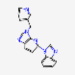 c1cncc(Cn2cnc3ccc(-n4cnc5ccccc54)nc32)c1